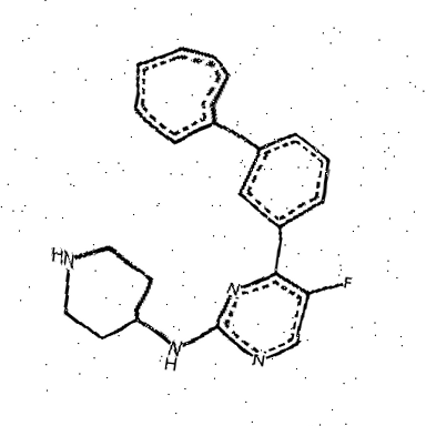 Fc1cnc(NC2CCNCC2)nc1-c1cccc(-c2ccccc2)c1